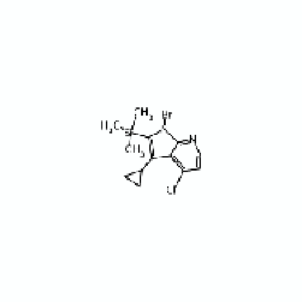 C[Si](C)(C)c1c(C2CC2)c2c(Cl)ccnc2n1Br